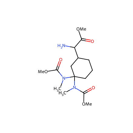 COC(=O)C(N)C1CCCC(N(C)C(=O)OC)(N(C)C(=O)OC)C1